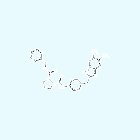 Cc1cc2nc(Cc3ccc(NC(=O)[C@@H]4CCCN4C(=O)OCc4ccccc4)cc3)[nH]c2cc1C